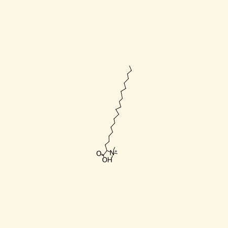 CCCCCCCCCCCCCCCCCCCC(C(=O)O)[N+](C)(C)C